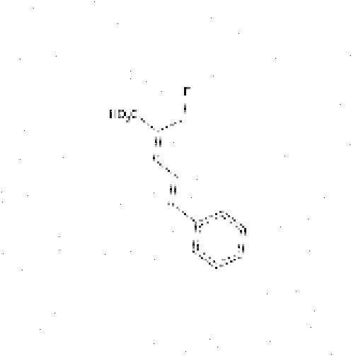 O=C(O)C(=CC=Cc1ccccc1)CF